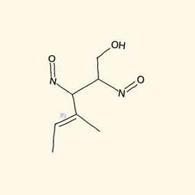 C/C=C(\C)C(N=O)C(CO)N=O